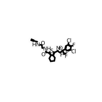 C#CCNC(=O)CNC(=O)c1sc(C2=NOC(c3cc(Cl)c(F)c(Cl)c3)(C(F)(F)F)C2)c2c1CCCC2